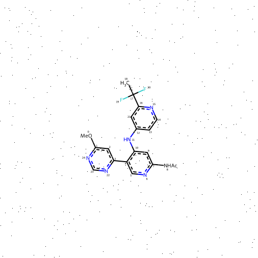 COc1cc(-c2cnc(NC(C)=O)cc2Nc2ccnc(C(C)(F)F)c2)ncn1